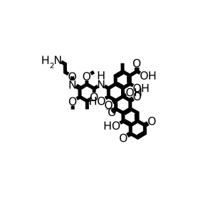 COC1/C(=N/OCCN)C(OC)C(NC2c3cc(C)c(C(=O)O)c(O)c3C3(O)C(=O)c4cc5c(c(O)c4C(=O)C3(OC)C2O)C(=O)C=CC5=O)OC1C